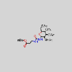 CCCCOC(=O)CCNC(=O)NC1OC(COC(C)=O)C(OC(C)=O)C(OC(C)=O)C1NC(C)=O